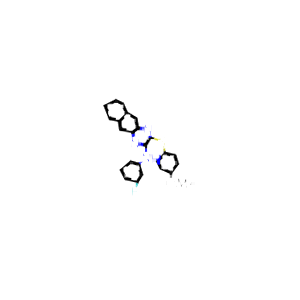 COc1ccc(Sc2nc3cc4ccccc4cc3nc2Nc2cccc(F)c2)cc1